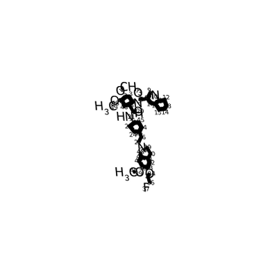 COc1cc(NC(=O)c2cnc3ccccc3c2)c(C(=O)Nc2ccc(CCN3CCc4cc(OCCF)c(OC)cc4C3)cc2)cc1OC